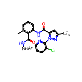 CC(=O)NNC(=O)c1c(C)cccc1NC(=O)c1cc(C(F)(F)F)nn1-c1ncccc1Cl